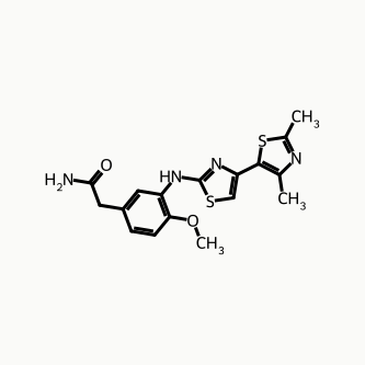 COc1ccc(CC(N)=O)cc1Nc1nc(-c2sc(C)nc2C)cs1